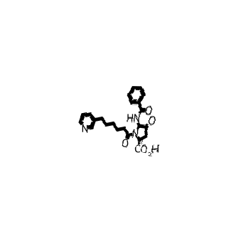 O=C(NC1C(=O)C[C@@H](C(=O)O)N1C(=O)CCCCCc1cccnc1)c1ccccc1